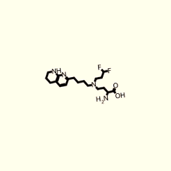 NC(CCN(CCCCc1ccc2c(n1)NCCC2)CCC(F)F)C(=O)O